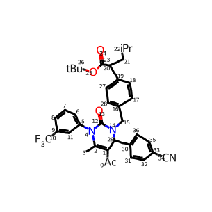 CC(=O)C1=C(C)N(c2cccc(C(F)(F)F)c2)C(=O)N(Cc2ccc(C(CC(C)C)C(=O)OC(C)(C)C)cc2)C1c1ccc(C#N)cc1